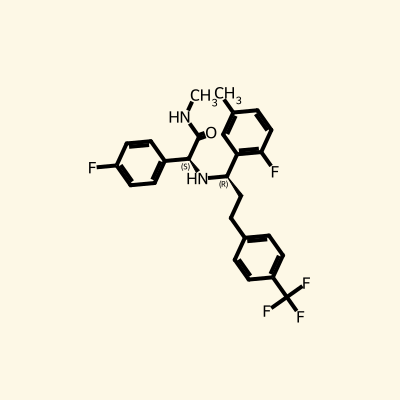 CNC(=O)[C@@H](N[C@H](CCc1ccc(C(F)(F)F)cc1)c1cc(C)ccc1F)c1ccc(F)cc1